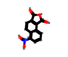 O=C1OC(=O)c2c1ccc1c([N+](=O)[O-])cccc21